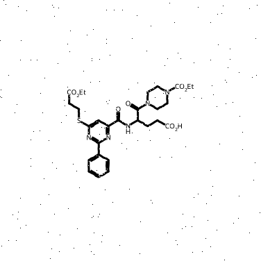 CCOC(=O)CCSc1cc(C(=O)NC(CCC(=O)O)C(=O)N2CCN(C(=O)OCC)CC2)nc(-c2ccccc2)n1